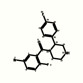 O=C(c1cc(Br)ccc1F)N1CCNCC1c1ccc(F)cc1